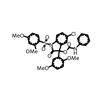 COc1ccc(S(=O)(=O)N2C(=O)C(OC(=O)Nc3ccccc3)(c3cc(OC)ccc3OC)c3cc(Cl)ccc32)c(OC)c1